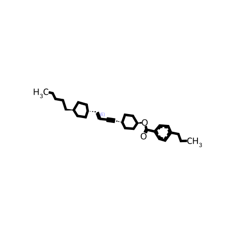 CCCCC[C@H]1CC[C@H](/C=C/C#C[C@H]2CC[C@H](OC(=O)c3ccc(CCC)cc3)CC2)CC1